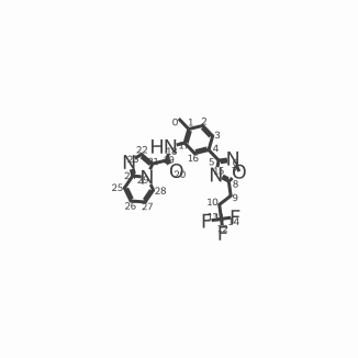 Cc1ccc(-c2noc(CCC(F)(F)F)n2)cc1NC(=O)c1cnc2ccccn12